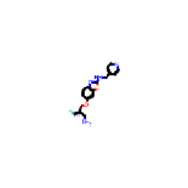 NC/C(=C/F)COc1ccc2nc(NCc3ccncc3)oc2c1